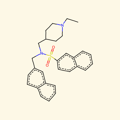 CCN1CCC(CN(Cc2ccc3ccccc3c2)S(=O)(=O)c2ccc3ccccc3c2)CC1